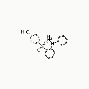 Cc1ccc(S(=O)(=O)c2ccccc2N(N)c2ccccc2)cc1